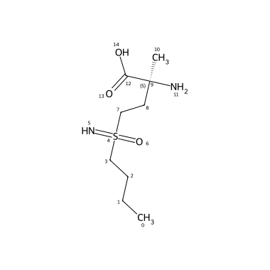 CCCCS(=N)(=O)CC[C@](C)(N)C(=O)O